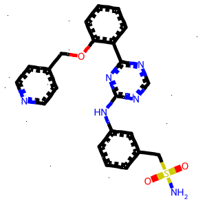 NS(=O)(=O)Cc1cccc(Nc2ncnc(-c3ccccc3OCc3ccncc3)n2)c1